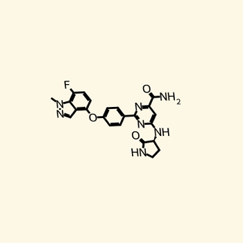 Cn1ncc2c(Oc3ccc(-c4nc(N[C@H]5CCNC5=O)cc(C(N)=O)n4)cc3)ccc(F)c21